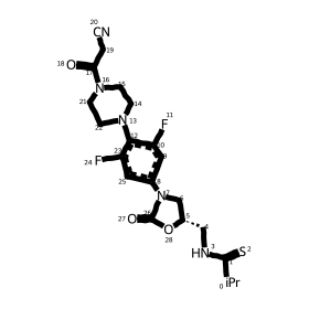 CC(C)C(=S)NC[C@H]1CN(c2cc(F)c(N3CCN(C(=O)CC#N)CC3)c(F)c2)C(=O)O1